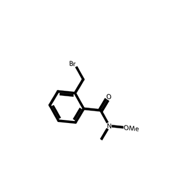 CON(C)C(=O)c1ccccc1CBr